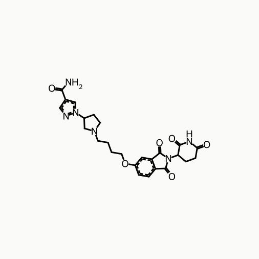 NC(=O)c1cnn(C2CCN(CCCCOc3ccc4c(c3)C(=O)N(C3CCC(=O)NC3=O)C4=O)C2)c1